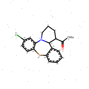 COC(=O)C1CCCN2c3cc(Cl)ccc3Sc3ccccc3C12